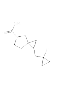 NC(=O)N1CCC2(CC2CC2(F)CC2)C1